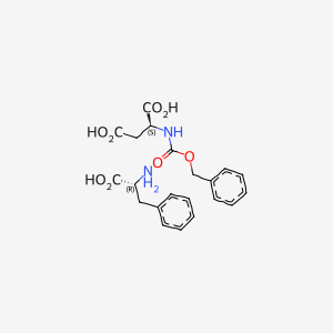 N[C@H](Cc1ccccc1)C(=O)O.O=C(O)C[C@H](NC(=O)OCc1ccccc1)C(=O)O